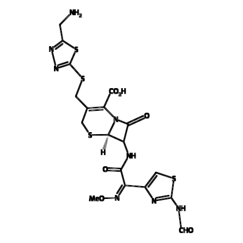 CO/N=C(\C(=O)NC1C(=O)N2C(C(=O)O)=C(CSc3nnc(CN)s3)CS[C@H]12)c1csc(NC=O)n1